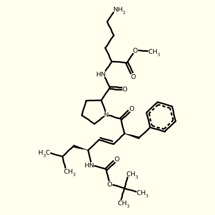 COC(=O)C(CCCN)NC(=O)C1CCCN1C(=O)[C@H](/C=C/[C@H](CC(C)C)NC(=O)OC(C)(C)C)Cc1ccccc1